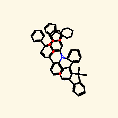 CC1(C)c2ccccc2-c2cccc(-c3ccccc3N(c3ccc4c(c3)C3(CCCCC3)c3ccccc3-4)c3ccccc3-c3ccc(-c4ccccc4)c(-c4ccccc4)c3)c21